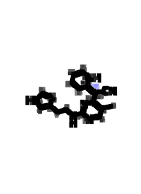 Cc1cnc(NCCc2c[nH]cn2)nc1/C(C#N)=C1\C=CC=CN1